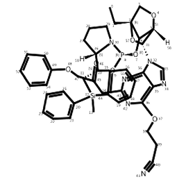 CC[C@@]12CO[C@@H](C1O[P@@]1O[C@H](C[Si](C)(c3ccccc3)c3ccccc3)[C@@H]3CCCN31)[C@H](n1cnc3c(OCCC#N)nc(CC(=O)COc4ccccc4)nc31)O2